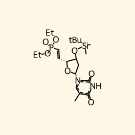 CCOP(=O)(/C=C/[C@H]1O[C@@H](n2cc(C)c(=O)[nH]c2=O)CC1O[Si](C)(C)C(C)(C)C)OCC